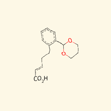 O=C(O)/C=C/CCc1ccccc1C1OCCCO1